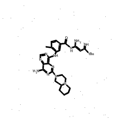 Cc1ccc(C(=O)N/C(N)=C/C(=N)C(C)(C)C)cc1Nc1ncnc2c(N)nc(N3CCN4CCCCC4C3)nc12